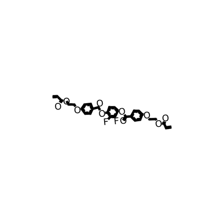 C=CC(=O)OCCOc1ccc(C(=O)Oc2ccc(OC(=O)c3ccc(OCCOC(=O)C=C)cc3)c(F)c2F)cc1